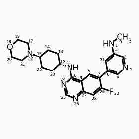 CNc1cncc(-c2cc3c(N[C@H]4CC[C@H](N5CCOCC5)CC4)ncnc3cc2F)c1